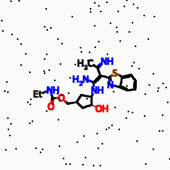 CCNC(=O)OC[C@@H]1C[C@@H](O)[C@H](N/C(N)=C(/C(C)=N)c2nc3ccccc3s2)C1